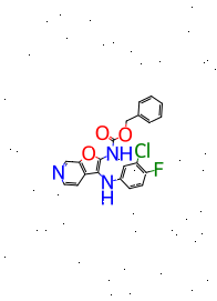 O=C(Nc1oc2cnccc2c1Nc1ccc(F)c(Cl)c1)OCc1ccccc1